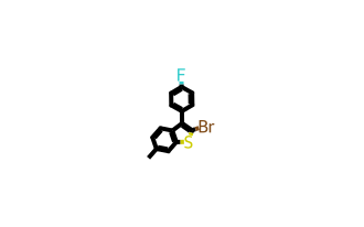 Cc1ccc2c(-c3ccc(F)cc3)c(Br)sc2c1